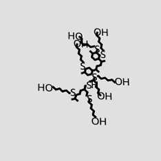 CC(C)C(CCC(CCSCCCCCCO)CSCC(CCCCO)[SH](CCCCCCO)C1CC(C)C(SCCCCCCO)CC1C(C)CCC(C)C1CCC(C)C(SCCCCCCO)C1SCCCCCCO)SCCCCCCO